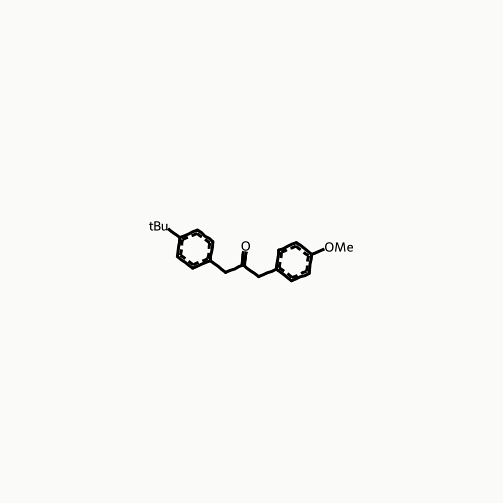 COc1ccc(CC(=O)Cc2ccc(C(C)(C)C)cc2)cc1